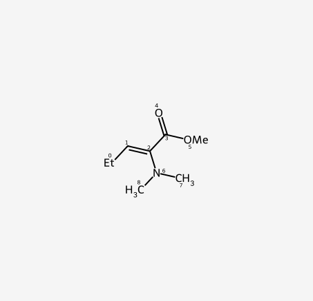 CC/C=C(/C(=O)OC)N(C)C